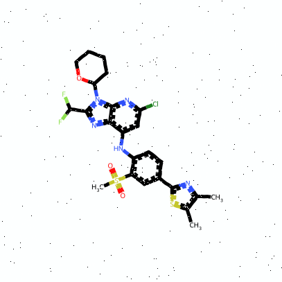 Cc1nc(-c2ccc(Nc3cc(Cl)nc4c3nc(C(F)F)n4C3CCCCO3)c(S(C)(=O)=O)c2)sc1C